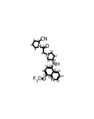 N#CC1CCCN1C(=O)CN1CC[C@H](Nc2ccc(OC(F)(F)F)c3ncccc23)C1